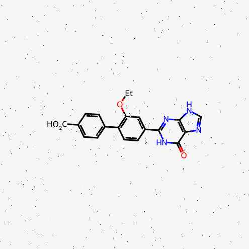 CCOc1cc(-c2nc3[nH]cnc3c(=O)[nH]2)ccc1-c1ccc(C(=O)O)cc1